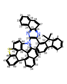 CC1(C)c2ccccc2-c2cccc(-c3nc4ccc5ccccc5c4nc3-n3c4ccc5cccc6c5c4c4c5c(ccc43)sc3cccc-6c35)c21